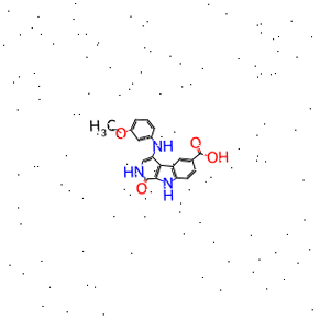 COc1cccc(Nc2c[nH]c(=O)c3[nH]c4ccc(C(=O)O)cc4c23)c1